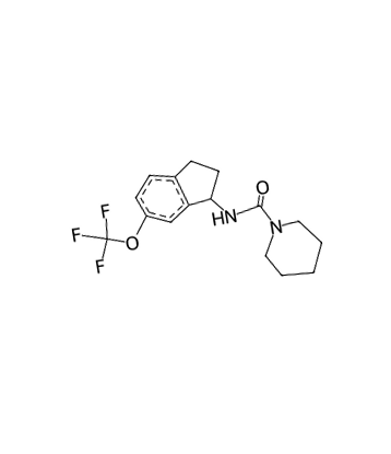 O=C(NC1CCc2ccc(OC(F)(F)F)cc21)N1CCCCC1